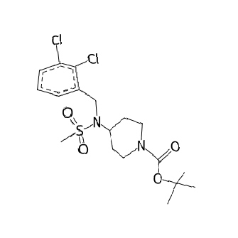 CC(C)(C)OC(=O)N1CCC(N(Cc2cccc(Cl)c2Cl)S(C)(=O)=O)CC1